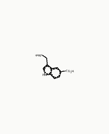 CCCCCCCCc1c[nH]c2ccc(C(=O)O)cc12